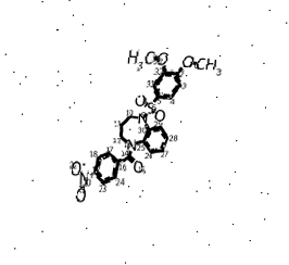 COc1ccc(S(=O)(=O)N2CCCN(C(=O)c3ccc([N+](=O)[O-])cc3)c3ccccc32)cc1OC